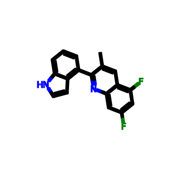 Cc1cc2c(F)cc(F)cc2nc1-c1cccc2[nH]ccc12